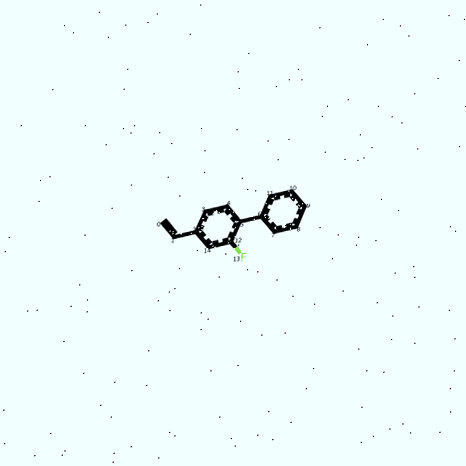 C=Cc1ccc(-c2ccccc2)c(F)c1